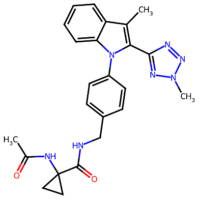 CC(=O)NC1(C(=O)NCc2ccc(-n3c(-c4nnn(C)n4)c(C)c4ccccc43)cc2)CC1